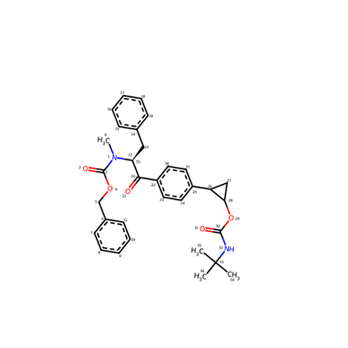 CN(C(=O)OCc1ccccc1)[C@@H](Cc1ccccc1)C(=O)c1ccc(C2CC2OC(=O)NC(C)(C)C)cc1